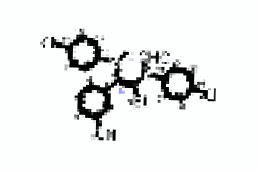 CC/C(=C(\c1cccc(C#N)c1)N(C)c1ccc(Cl)cc1)N(C=O)c1ccc(Cl)cc1